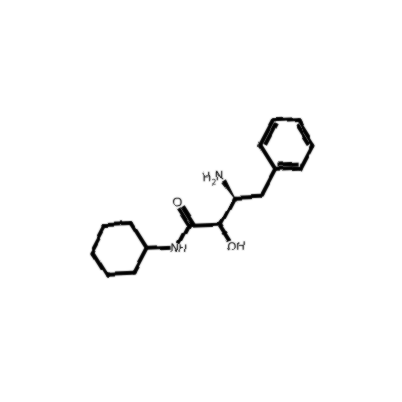 N[C@@H](Cc1ccccc1)C(O)C(=O)NC1CCCCC1